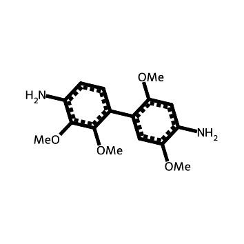 COc1cc(-c2ccc(N)c(OC)c2OC)c(OC)cc1N